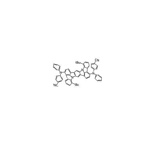 CC(C)(C)c1cccc2c3c(N(c4ccccc4)c4ccc(C#N)cc4)ccc4c5cc6c(cc5n(c12)c43)c1ccc(N(c2ccccc2)c2ccc(C#N)cc2)c2c3cccc(C(C)(C)C)c3n6c12